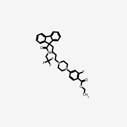 CCOC(=O)c1ccc(N2CCN(CCCCC3(C(=O)NCC(F)(F)F)c4ccccc4-c4ccccc43)CC2)cc1F